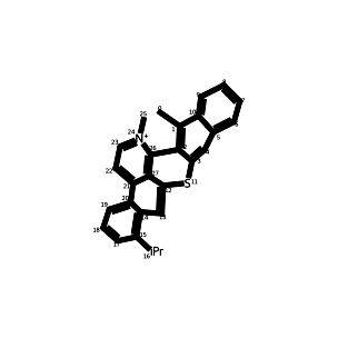 Cc1c2c(cc3ccccc13)Sc1cc3c(C(C)C)cccc3c3cc[n+](C)c-2c13